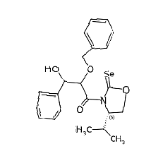 CC(C)[C@H]1COC(=[Se])N1C(=O)C(OCc1ccccc1)C(O)c1ccccc1